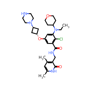 CCN(c1cc(O[C@H]2C[C@H](N3CCNCC3)C2)cc(C(=O)NCc2c(C)cc(C)[nH]c2=O)c1Cl)C1CCOCC1